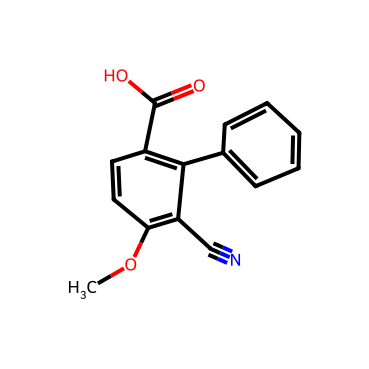 COc1ccc(C(=O)O)c(-c2ccccc2)c1C#N